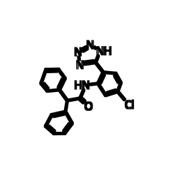 O=C(Nc1cc(Cl)ccc1-c1nnn[nH]1)C(c1ccccc1)c1ccccc1